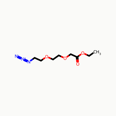 CCOC(=O)COCCOCCN=[N+]=[N-]